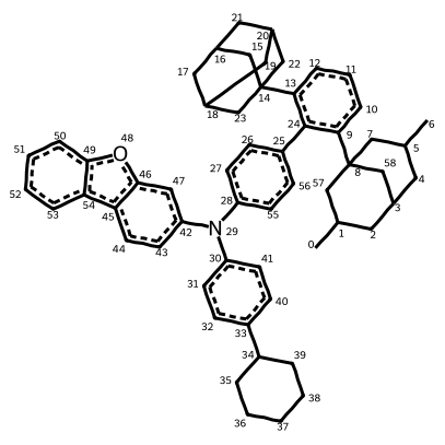 CC1CC2CC(C)CC(c3cccc(C45CC6CC(CC(C6)C4)C5)c3-c3ccc(N(c4ccc(C5CCCCC5)cc4)c4ccc5c(c4)oc4ccccc45)cc3)(C1)C2